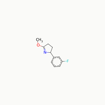 COC1=NC(c2cccc(F)c2)CC1